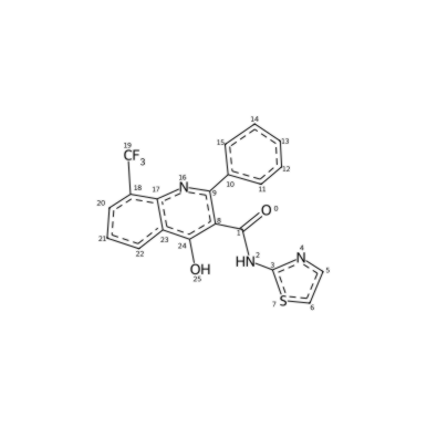 O=C(Nc1nccs1)c1c(-c2ccccc2)nc2c(C(F)(F)F)cccc2c1O